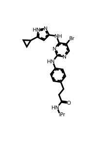 CC(C)NC(=O)CCc1ccc(Nc2ncc(Br)c(Nc3cc(C4CC4)[nH]n3)n2)cc1